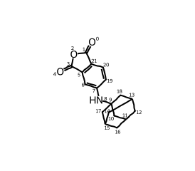 O=C1OC(=O)c2cc(NC34CC5CC(CC(C5)C3)C4)ccc21